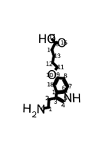 NCCc1c[nH]c2ccc(OCCCCC(=O)O)cc12